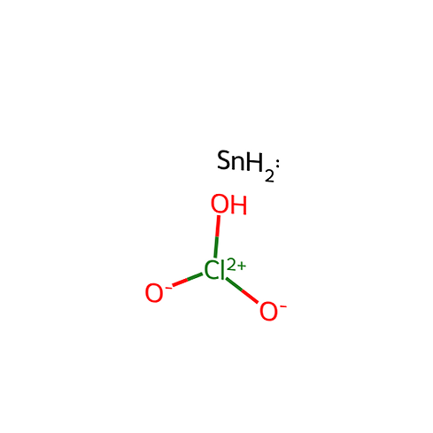 [O-][Cl+2]([O-])O.[SnH2]